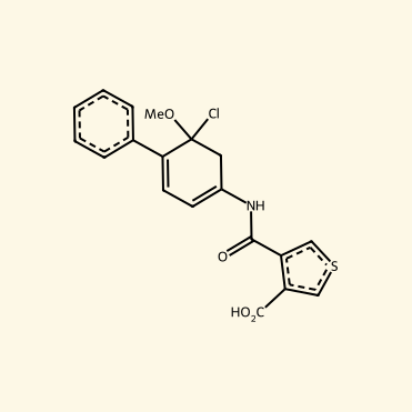 COC1(Cl)CC(NC(=O)c2cscc2C(=O)O)=CC=C1c1ccccc1